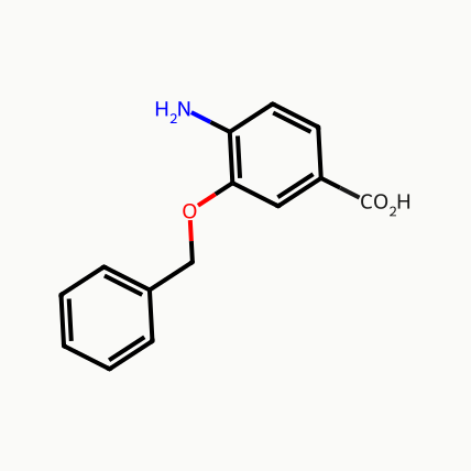 Nc1ccc(C(=O)O)cc1OCc1ccccc1